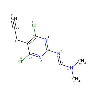 C#CCc1c(Cl)nc(N=CN(C)C)nc1Cl